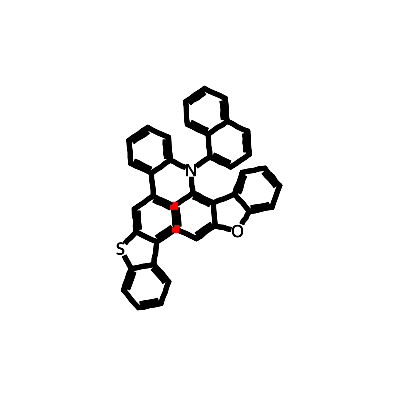 c1ccc(N(c2cccc3ccccc23)c2cccc3oc4ccccc4c23)c(-c2ccc3c(c2)sc2ccccc23)c1